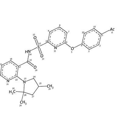 CC(=O)c1ccc(Oc2cccc(S(=O)(=O)NC(=O)c3cccnc3N3CC(C)CC3(C)C)n2)cc1